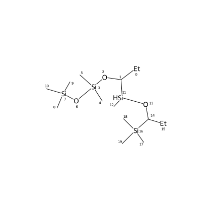 CCC(O[Si](C)(C)O[Si](C)(C)C)[SiH](C)OC(CC)[Si](C)(C)C